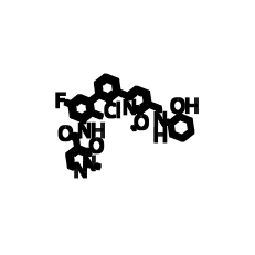 COc1nc(-c2cccc(-c3cc(F)cc(NC(=O)c4ccnn(C)c4=O)c3C)c2Cl)ccc1CNC1CCCCC1O